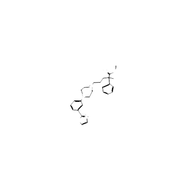 COC(=O)C(C)(CCCN1CCN(c2cccc(-c3nccs3)c2)CC1)c1ccccc1